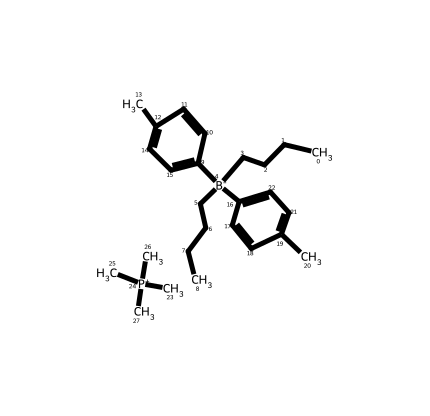 CCCC[B-](CCCC)(c1ccc(C)cc1)c1ccc(C)cc1.C[P+](C)(C)C